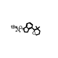 CC1(C)CCCOC1c1cccc2c1CC[C@@H]2O[Si](C)(C)C(C)(C)C